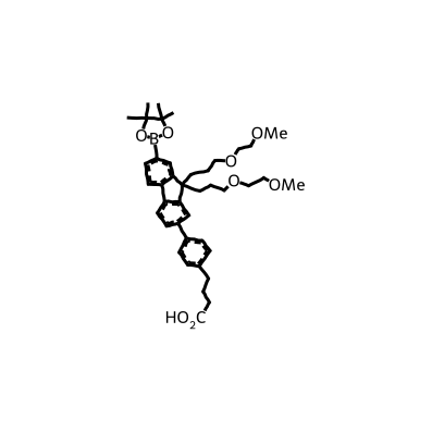 COCCOCCCC1(CCCOCCOC)c2cc(B3OC(C)(C)C(C)(C)O3)ccc2-c2ccc(-c3ccc(CCCC(=O)O)cc3)cc21